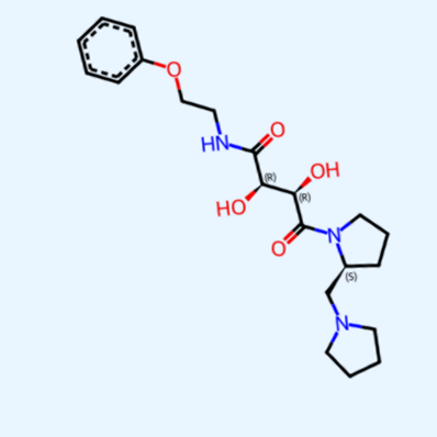 O=C(NCCOc1ccccc1)[C@H](O)[C@@H](O)C(=O)N1CCC[C@H]1CN1CCCC1